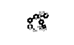 Nc1ncccc1-c1nc2ccc(-c3cccc(N4CCO[C@@H](CO)C4)c3)nc2n1-c1ccc(C2(NC(=O)O)CCC2)cc1